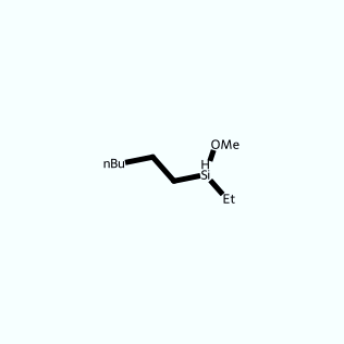 CCCCCC[SiH](CC)OC